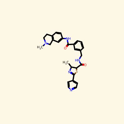 CC1N=C(c2ccncc2)SC1C(=O)NCc1cccc(C(=O)Nc2ccc3c(c2)CN(C)CC3)c1